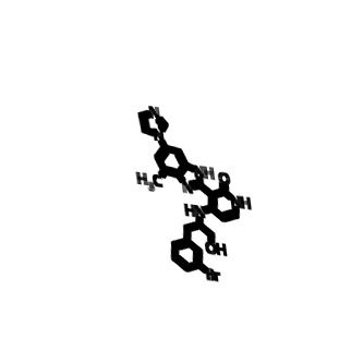 Cc1cc(-n2ccnc2)cc2[nH]c(-c3c(NC(CO)Cc4cccc(Br)c4)cc[nH]c3=O)nc12